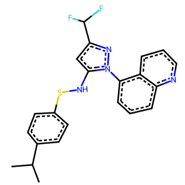 CC(C)c1ccc(SNc2cc(C(F)F)nn2-c2cccc3ncccc23)cc1